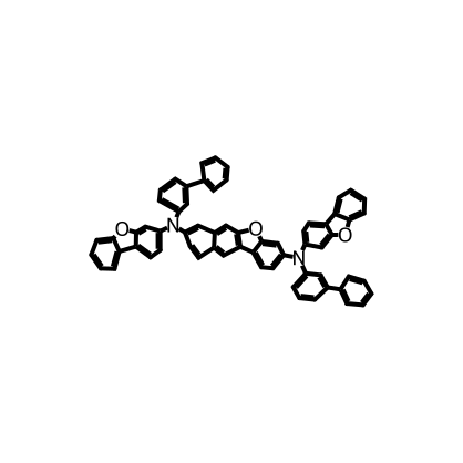 c1ccc(-c2cccc(N(c3ccc4cc5c(cc4c3)oc3cc(N(c4cccc(-c6ccccc6)c4)c4ccc6c(c4)oc4ccccc46)ccc35)c3ccc4c(c3)oc3ccccc34)c2)cc1